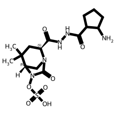 CC1(C)C[C@@H](C(=O)NNC(=O)C2CCCC2N)N2C[C@@H]1N(OS(=O)(=O)O)C2=O